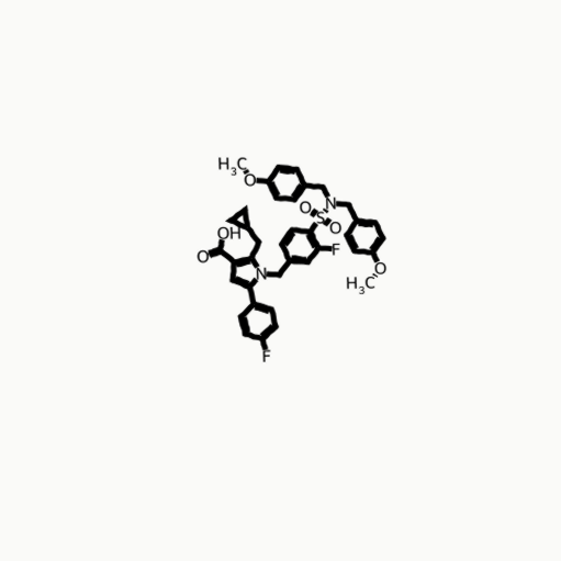 COc1ccc(CN(Cc2ccc(OC)cc2)S(=O)(=O)c2ccc(Cn3c(-c4ccc(F)cc4)cc(C(=O)O)c3CC3CC3)cc2F)cc1